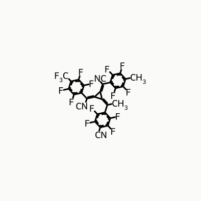 C/C(=C1\C(=C(C#N)c2c(F)c(F)c(C)c(F)c2F)\C1=C(\C#N)c1c(F)c(F)c(C(F)(F)F)c(F)c1F)c1c(F)c(F)c(C#N)c(F)c1F